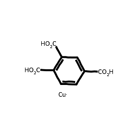 O=C(O)c1ccc(C(=O)O)c(C(=O)O)c1.[Cu]